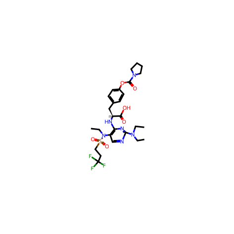 CCN(CC)c1ncc(N(CC)S(=O)(=O)CCC(F)(F)F)c(N[C@@H](Cc2ccc(OC(=O)N3CCCC3)cc2)C(=O)O)n1